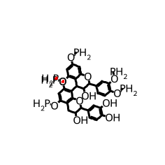 Oc1ccc(C2Oc3c(c(OP)cc(OP)c3C3c4c(OP)cc(OP)cc4OC(c4ccc(OP)c(OP)c4)C3O)CC2O)cc1O